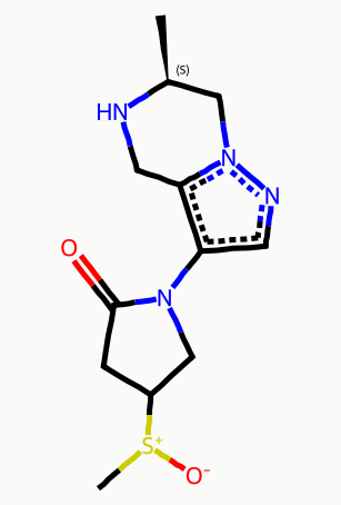 C[C@H]1Cn2ncc(N3CC([S+](C)[O-])CC3=O)c2CN1